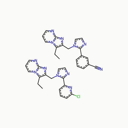 CCc1c(Cn2ccnc2-c2cccc(C#N)c2)nc2ncccn12.CCc1c(Cn2ccnc2-c2cccc(Cl)n2)nc2ncccn12